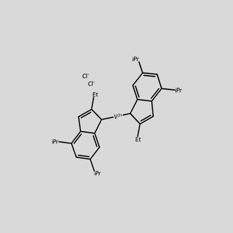 CCC1=Cc2c(C(C)C)cc(C(C)C)cc2[CH]1[V+2][CH]1C(CC)=Cc2c(C(C)C)cc(C(C)C)cc21.[Cl-].[Cl-]